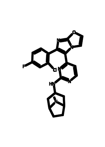 CN1C2CCC1CC(Nc1nccc(-c3c(-c4ccc(F)cc4Cl)nc4occn34)n1)C2